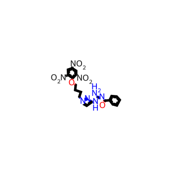 NC(=NC(=O)c1ccccc1)Nc1ccn(CCCCOc2c([N+](=O)[O-])cc([N+](=O)[O-])cc2[N+](=O)[O-])n1